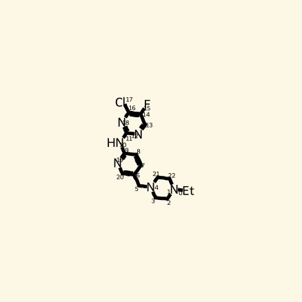 CCN1CCN(Cc2ccc(Nc3ncc(F)c(Cl)n3)nc2)CC1